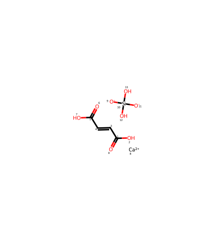 O=C(O)C=CC(=O)O.[Ca+2].[O-][Si]([O-])(O)O